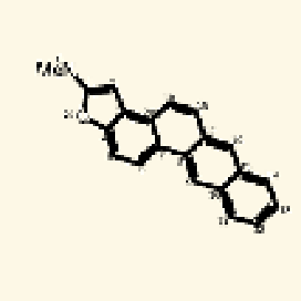 CNc1cc2c(ccc3c4cc5ccccc5cc4ccc23)o1